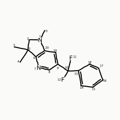 CN1CC(C)(C)c2ncc(C(F)(F)c3ccccc3)cc21